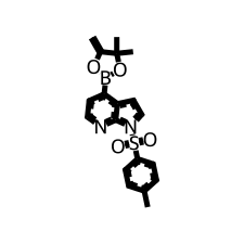 C=C1OB(c2ccnc3c2ccn3S(=O)(=O)c2ccc(C)cc2)OC1(C)C